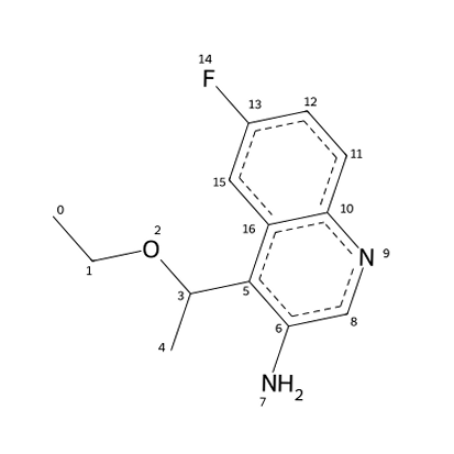 CCOC(C)c1c(N)cnc2ccc(F)cc12